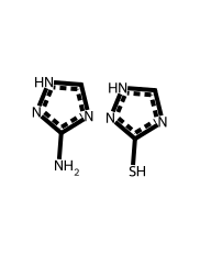 Nc1nc[nH]n1.Sc1nc[nH]n1